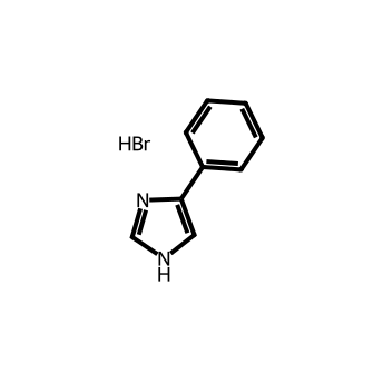 Br.c1ccc(-c2c[nH]cn2)cc1